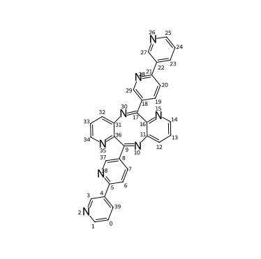 c1cncc(-c2ccc(/C3=N/c4cccnc4/C(c4ccc(-c5cccnc5)nc4)=N\c4cccnc43)cn2)c1